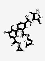 Cc1n[nH]c(C)c1NC(=O)c1ccc(-c2cc(C(=O)NC3CC3)cc(F)c2C)c(C(=O)Nc2nccs2)c1